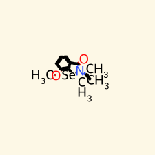 COc1cccc2c(=O)n(C(C)(C)C)[se]c12